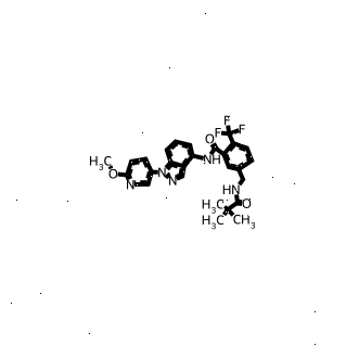 COc1ccc(-n2ncc3c(NC(=O)c4cc(CNC(=O)C(C)(C)C)ccc4C(F)(F)F)cccc32)cn1